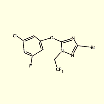 Fc1cc(Cl)cc(Oc2nc(Br)nn2CC(F)(F)F)c1